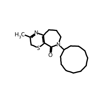 CC1=NC2=C(SC1)C(=O)N(C1CCCCCCCCCC1)CCC2